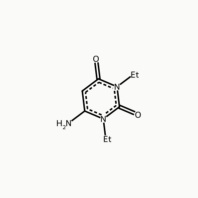 CCn1c(N)cc(=O)n(CC)c1=O